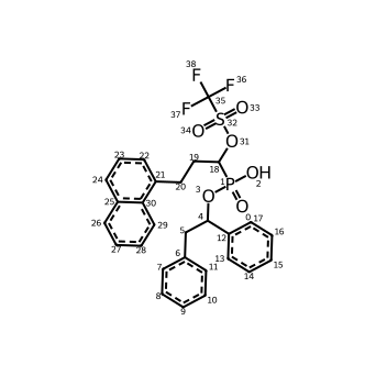 O=P(O)(OC(Cc1ccccc1)c1ccccc1)C(CCc1cccc2ccccc12)OS(=O)(=O)C(F)(F)F